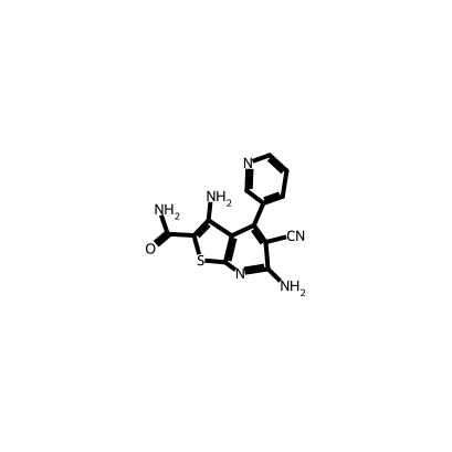 N#Cc1c(N)nc2sc(C(N)=O)c(N)c2c1-c1cccnc1